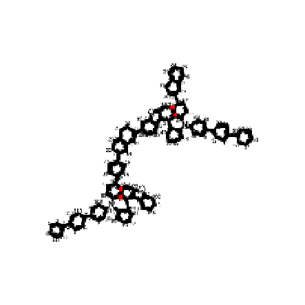 c1ccc(-c2ccc(-c3ccc(N(c4ccc(-c5ccc(-c6ccc7ccc(-c8ccc9c(c8)oc8cccc(-c%10ccccc%10N(c%10ccc(-c%11ccc(-c%12ccccc%12)cc%11)cc%10)c%10ccc(-c%11ccc%12ccccc%12c%11)cc%10)c89)cc7c6)cc5)cc4)c4ccccc4-c4cccc5oc6ccccc6c45)cc3)cc2)cc1